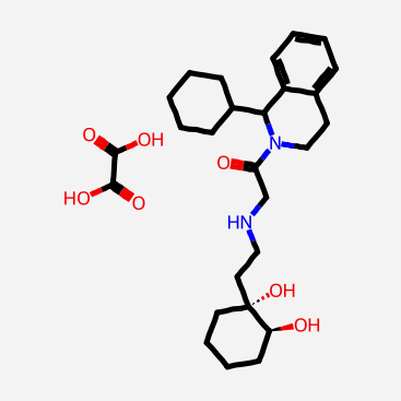 O=C(CNCC[C@]1(O)CCCC[C@@H]1O)N1CCc2ccccc2C1C1CCCCC1.O=C(O)C(=O)O